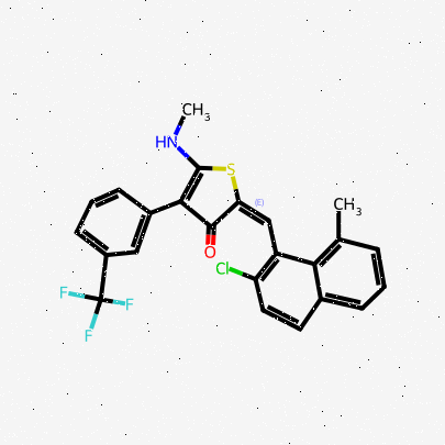 CNC1=C(c2cccc(C(F)(F)F)c2)C(=O)/C(=C\c2c(Cl)ccc3cccc(C)c23)S1